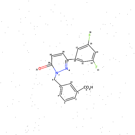 O=C(O)c1cccc(Cn2nc(-c3cc(F)cc(F)c3)ccc2=O)c1